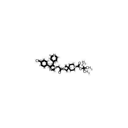 CC(C)(C)OC(=O)N1CCC2(CC1)CN(C(=O)Cn1cnc(-c3ccc(Cl)cc3)c1-c1ccncc1)C2